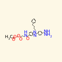 CC(=O)OCOC(=O)CCNC(=O)c1ccc2c(c1)nc(-c1ccc(C(=N)N)cc1)n2CCCCc1ccccc1